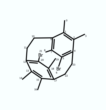 Cc1c(C)c2c(Br)c(C)c1CCc1c(C)c(C)c(c(C)c1Br)CC2